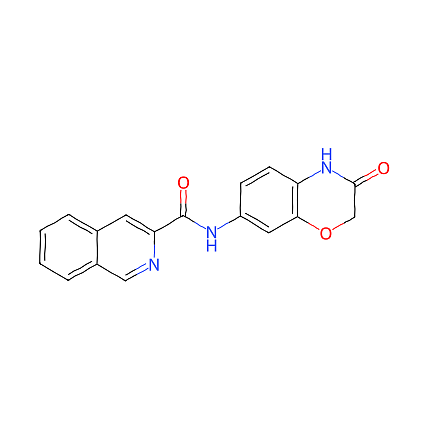 O=C1COc2cc(NC(=O)c3cc4ccccc4cn3)ccc2N1